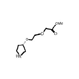 COC(=O)COCCO[C@H]1CCNC1